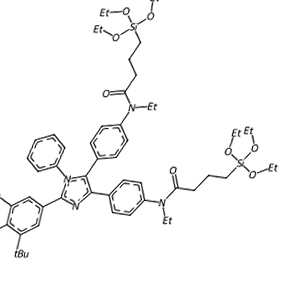 CCO[Si](CCCC(=O)N(CC)c1ccc(-c2nc(-c3cc(C(C)(C)C)c(O)c(C(C)(C)C)c3)n(-c3ccccc3)c2-c2ccc(N(CC)C(=O)CCC[Si](OCC)(OCC)OCC)cc2)cc1)(OCC)OCC